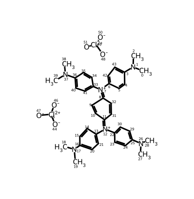 CN(C)c1ccc([N+](=C2C=CC(=[N+](c3ccc(N(C)C)cc3)c3ccc(N(C)C)cc3)C=C2)c2ccc(N(C)C)cc2)cc1.[O-][Cl+2]([O-])[O-].[O-][Cl+2]([O-])[O-]